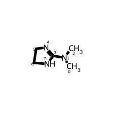 CN(C)C1=NCCN1